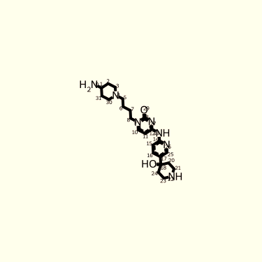 NC1CCN(CCCCn2ccc(Nc3ccc(C4(O)CCNCC4)cn3)nc2=O)CC1